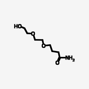 NC(=O)CCCOCCOCCO